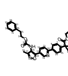 CCOC(=O)C1(c2ccc(-c3ccc(-c4onc(C)c4NC(=O)OCCc4ccccc4)cn3)cc2)CC1